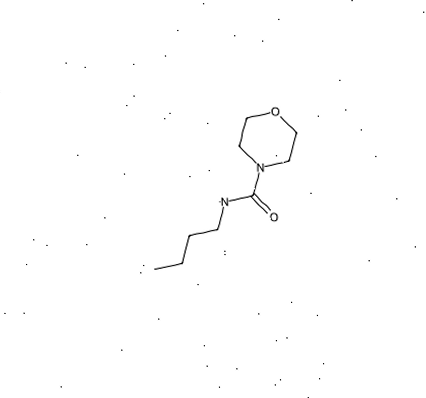 CCCC[N]C(=O)N1CCOCC1